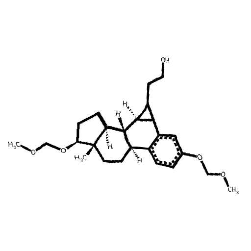 COCOc1ccc2c(c1)C1C(CCO)[C@@H]1[C@@H]1[C@@H]2CC[C@]2(C)[C@@H](OCOC)CC[C@@H]12